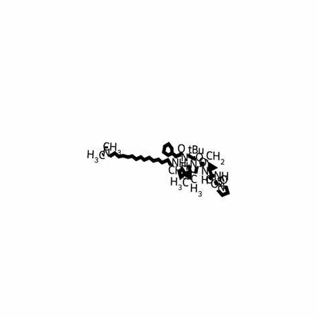 C=C[C@@H]1C[C@]1(NC(=O)[C@@H]1C[C@@]2(CN1C(=O)[C@@H](NC(=O)C(NC(C)CCCCCCCCCCCCCCN(C)C)C1CCCCC1)C(C)(C)C)C(C)(C)C21CCC1)C(=O)NS(=O)(=O)N1CCCC1